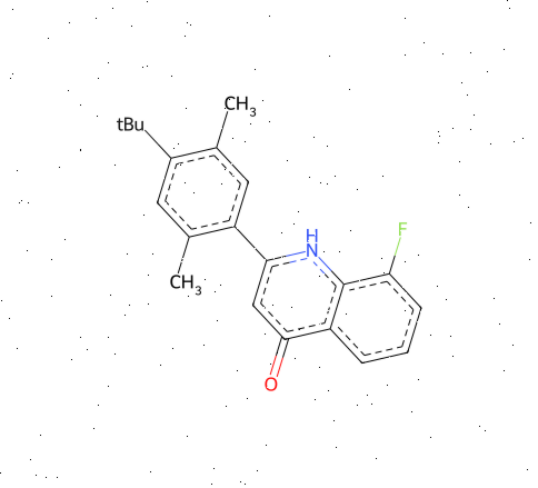 Cc1cc(C(C)(C)C)c(C)cc1-c1cc(=O)c2cccc(F)c2[nH]1